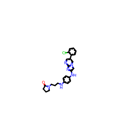 O=C1CCCN1CCCNc1ccc(Nc2cn3cc(-c4ccccc4Cl)cnc3n2)cc1